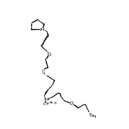 CN(CCOCCO)CCOCCOCCN1CCCC1